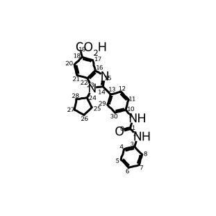 O=C(Nc1ccccc1)Nc1ccc(-c2nc3cc(C(=O)O)ccc3n2C2CCCC2)cc1